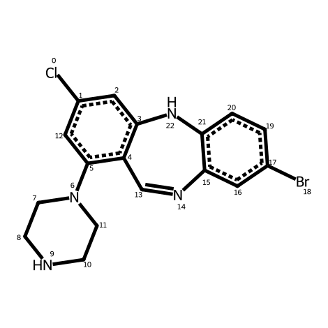 Clc1cc2c(c(N3CCNCC3)c1)C=Nc1cc(Br)ccc1N2